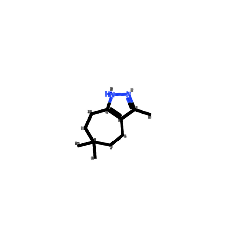 Cc1n[nH]c2c1CCC(C)(C)CC2